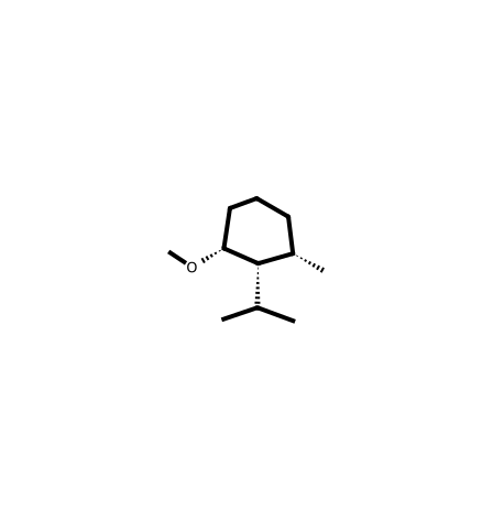 CO[C@@H]1CCC[C@H](C)[C@@H]1C(C)C